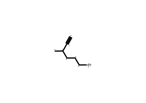 C#CC(C)CCCCCC